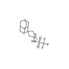 NCC1(CCNS(=O)(=O)C(F)(F)F)C2CC3CC(C2)CC1C3